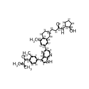 Cc1cc(-c2c[nH]c3ncc(-c4cc(C)c5c(c4)CN(CCC(=O)N[C@H]4CCC[C@H]4O)CC5)nc23)ccc1C(=O)N(C)C